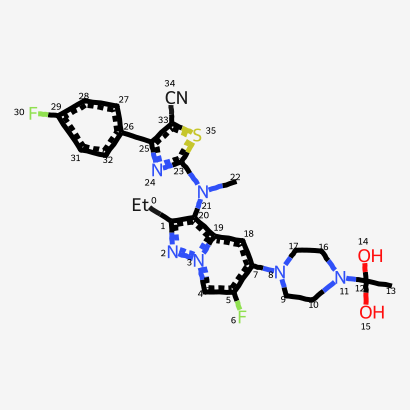 CCc1nn2cc(F)c(N3CCN(C(C)(O)O)CC3)cc2c1N(C)c1nc(-c2ccc(F)cc2)c(C#N)s1